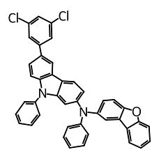 Clc1cc(Cl)cc(-c2ccc3c(c2)c2ccc(N(c4ccccc4)c4ccc5oc6ccccc6c5c4)cc2n3-c2ccccc2)c1